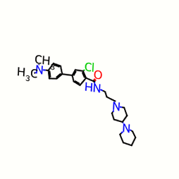 CN(C)c1ccc(-c2ccc(C(=O)NCCCN3CCC(N4CCCCC4)CC3)c(Cl)c2)cc1